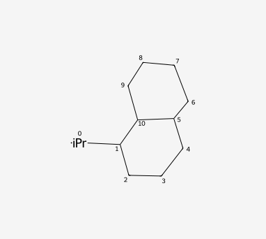 C[C](C)C1CCCC2CCCCC21